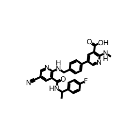 CNc1ncc(-c2ccc(CNc3ncc(C#N)cc3C(=O)NC(C)c3ccc(F)cc3)cc2)cc1C(=O)O